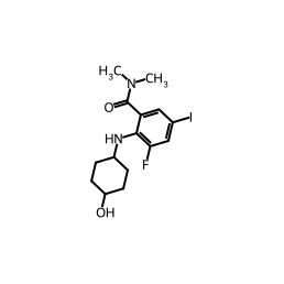 CN(C)C(=O)c1cc(I)cc(F)c1NC1CCC(O)CC1